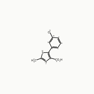 Cc1nc(C(=O)O)c(-c2cccc(Cl)c2)s1